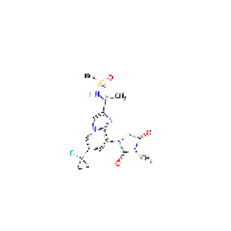 C[C@@H](N[S@+]([O-])C(C)(C)C)c1cn2cc(C3(F)CC3)cc(N3CC(=O)N(C)C3=O)c2n1